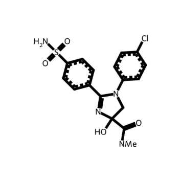 CNC(=O)C1(O)CN(c2ccc(Cl)cc2)C(c2ccc(S(N)(=O)=O)cc2)=N1